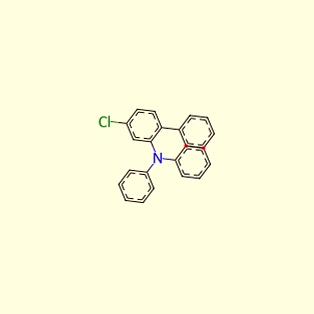 Clc1ccc(-c2ccccc2)c(N(c2ccccc2)c2ccccc2)c1